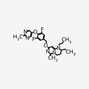 C=C1N=C(OCc2cc(F)c(Oc3cnc(C)nc3)c(F)c2)C=C2N1CCC(CC)N2CCC